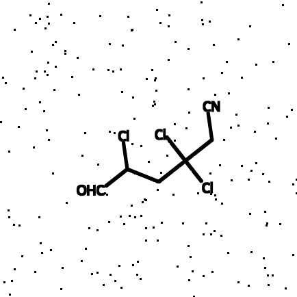 N#CCC(Cl)(Cl)CC(Cl)C=O